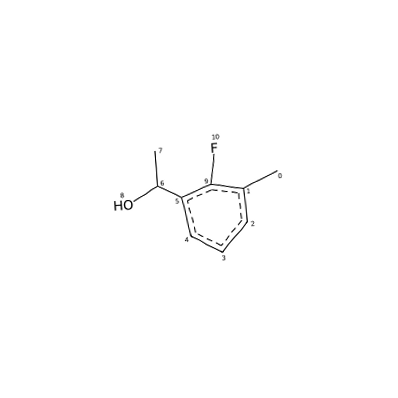 Cc1cccc(C(C)O)c1F